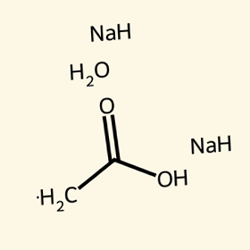 O.[CH2]C(=O)O.[NaH].[NaH]